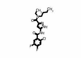 CCCCN(CC)C(=O)c1cc(NC(=O)c2cc(F)c(F)cc2Cl)[nH]n1